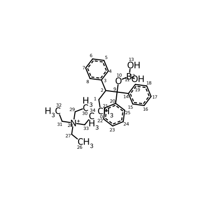 CCC(c1ccccc1)C(OB(O)O)(c1ccccc1)c1ccccc1.CC[N+](CC)(CC)CC